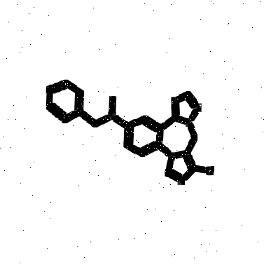 CN(Cc1ccccc1)c1ccc2c(c1)-c1ncnn1Cc1c(Cl)ncn1-2